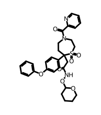 O=C(CC1(c2ccc(Oc3ccccc3)cc2)CCN(C(=O)c2ccccn2)CCS1(=O)=O)NOC1CCCCO1